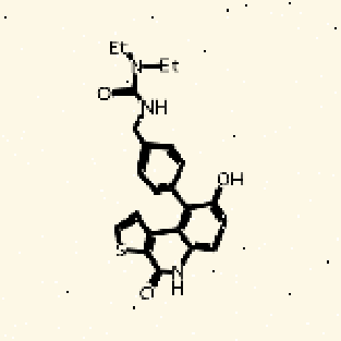 CCN(CC)C(=O)NCc1ccc(-c2c(O)ccc3[nH]c(=O)c4sccc4c23)cc1